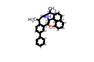 CC1c2ccc(-c3ccccc3)cc2C2=C3NC1C(C)c1ccc4cccc(c4c13)O2